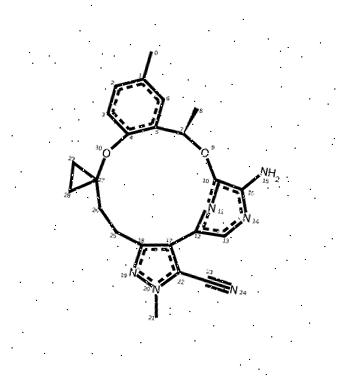 Cc1ccc2c(c1)[C@@H](C)Oc1nc(cnc1N)-c1c(nn(C)c1C#N)CCC1(CC1)O2